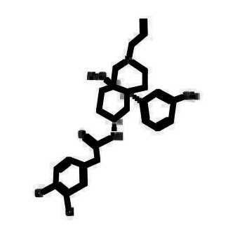 C=CCN1CC[C@@]2(c3cccc(OC(C)=O)c3)C[C@H](NC(=O)Cc3ccc(Cl)c(Cl)c3)CC[C@]2(OC)C1